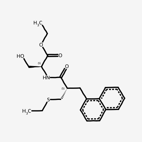 CCOC(=O)[C@H](CO)NC(=O)[C@@H](CSCC)Cc1cccc2ccccc12